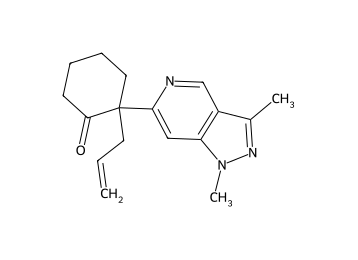 C=CCC1(c2cc3c(cn2)c(C)nn3C)CCCCC1=O